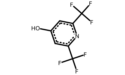 Oc1cc(C(F)(F)F)nc(C(F)(F)F)c1